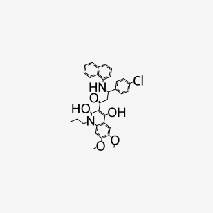 CCCN1c2cc(OC)c(OC)cc2C(O)=C(C(=O)CC(Nc2cccc3ccccc23)c2ccc(Cl)cc2)C1O